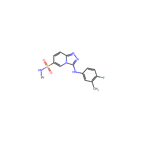 Cc1cc(Nc2nnc3ccc(S(=O)(=O)NC(C)C)cn23)ccc1F